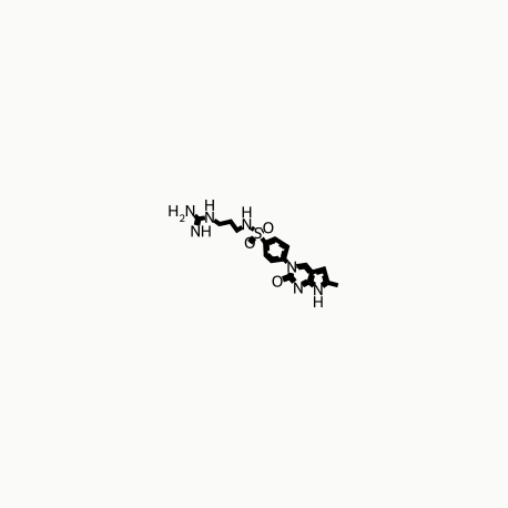 Cc1cc2cn(-c3ccc(S(=O)(=O)NCCCNC(=N)N)cc3)c(=O)nc2[nH]1